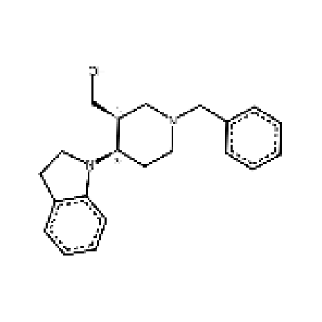 OC[C@H]1CN(Cc2ccccc2)CC[C@H]1N1CCc2ccccc21